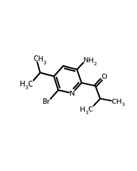 CC(C)C(=O)c1nc(Br)c(C(C)C)cc1N